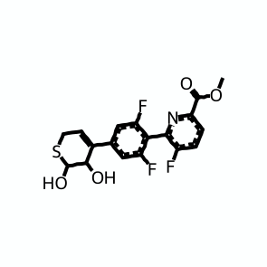 COC(=O)c1ccc(F)c(-c2c(F)cc(C3=CCSC(O)C3O)cc2F)n1